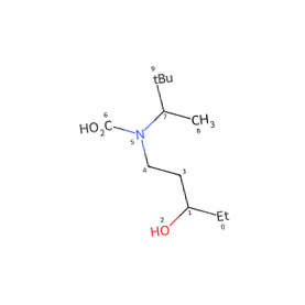 CCC(O)CCN(C(=O)O)C(C)C(C)(C)C